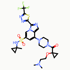 CN(C)CCOC1(C(=O)N2CCN(c3cc(S(=O)(=O)NC4(C)CC4)cn4c(-c5nnc(C(F)(F)F)s5)ncc34)CC2)CC1